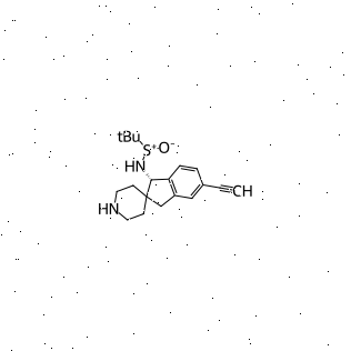 C#Cc1ccc2c(c1)CC1(CCNCC1)[C@@H]2N[S+]([O-])C(C)(C)C